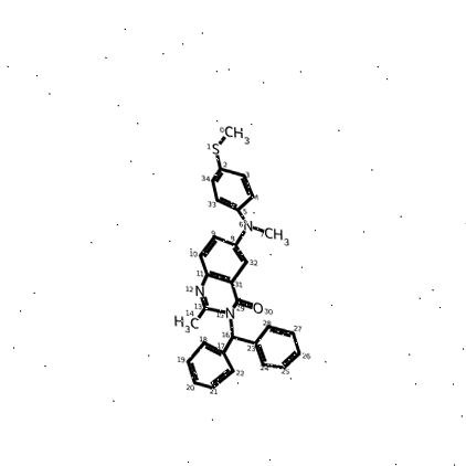 CSc1ccc(N(C)c2ccc3nc(C)n(C(c4ccccc4)c4ccccc4)c(=O)c3c2)cc1